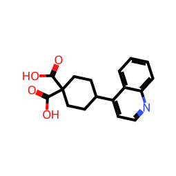 O=C(O)C1(C(=O)O)CCC(c2ccnc3ccccc23)CC1